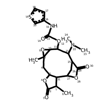 CC1C(=O)OC2CC3(C)OC3C(OC(=O)Nc3ccsc3)C(N(C)C)C3CC(OC3=O)C21